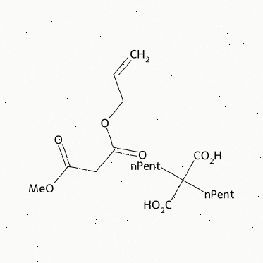 C=CCOC(=O)CC(=O)OC.CCCCCC(CCCCC)(C(=O)O)C(=O)O